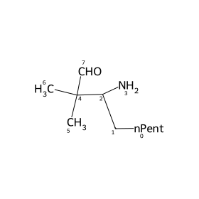 CCCCCCC(N)C(C)(C)C=O